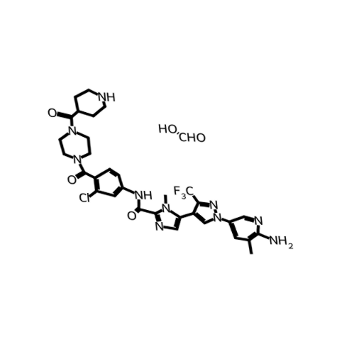 Cc1cc(-n2cc(-c3cnc(C(=O)Nc4ccc(C(=O)N5CCN(C(=O)C6CCNCC6)CC5)c(Cl)c4)n3C)c(C(F)(F)F)n2)cnc1N.O=CO